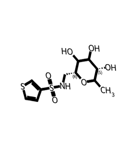 CC1O[C@H](CNS(=O)(=O)c2ccsc2)C(O)C(O)[C@@H]1O